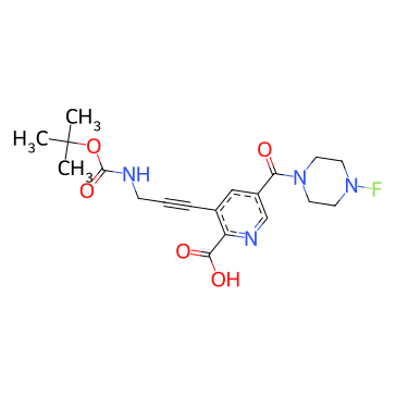 CC(C)(C)OC(=O)NCC#Cc1cc(C(=O)N2CCN(F)CC2)cnc1C(=O)O